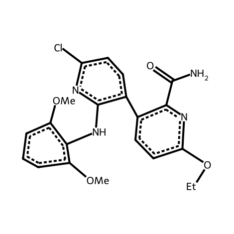 CCOc1ccc(-c2ccc(Cl)nc2Nc2c(OC)cccc2OC)c(C(N)=O)n1